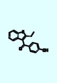 CCc1sc2ccccc2c1C(=O)c1ccc(O)cc1